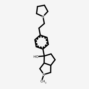 CN1CC2CCC(O)(c3ccc(CCN4CCCC4)cc3)C2C1